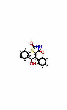 O=C1NC(=O)/C(=C(\c2ccccc2)C(O)c2ccccc2)S1